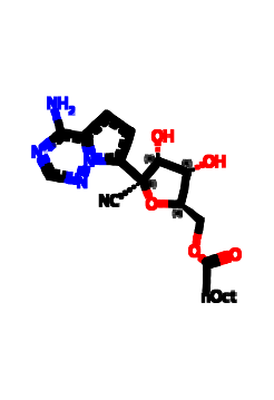 CCCCCCCCC(=O)OC[C@H]1O[C@@](C#N)(c2ccc3c(N)ncnn23)[C@H](O)[C@@H]1O